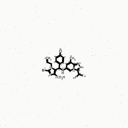 C=CCn1c(Br)nc(C(=O)O)c1C(Nc1cc(C)c2nnc(C(F)F)n2c1)c1ccc(Cl)cc1